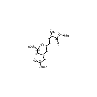 CCCCCCCCCC[C@@H](O)CN(CCCCC(C)C(=O)OCCCC)C[C@H](O)CCCCCCCCCC